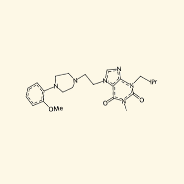 COc1ccccc1N1CCN(CCn2cnc3c2c(=O)n(C)c(=O)n3CC(C)C)CC1